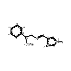 COC(CN=Cc1cn(C)cn1)c1ccccc1